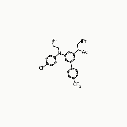 CC(=O)C(CC(C)C)c1cc(-c2ccc(C(F)(F)F)cc2)cc(N(CCC(C)C)c2ccc(Cl)cc2)c1